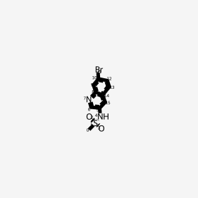 CS(=O)(=O)Nc1cnc2cc(Br)ccc2c1